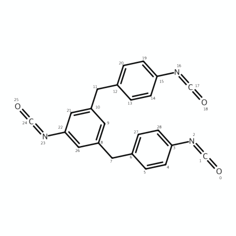 O=C=Nc1ccc(Cc2cc(Cc3ccc(N=C=O)cc3)cc(N=C=O)c2)cc1